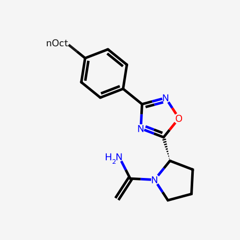 C=C(N)N1CCC[C@H]1c1nc(-c2ccc(CCCCCCCC)cc2)no1